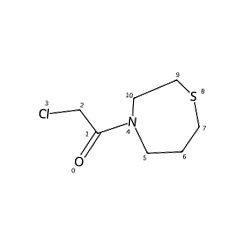 O=C(CCl)N1CCCSCC1